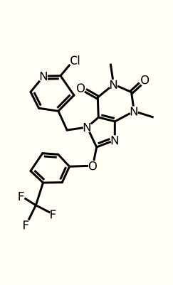 Cn1c(=O)c2c(nc(Oc3cccc(C(F)(F)F)c3)n2Cc2ccnc(Cl)c2)n(C)c1=O